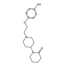 O=C1CCCCN1C1CCN(CCOc2ccc(O)cc2)CC1